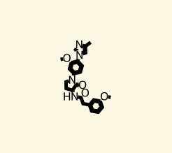 COc1cccc(CC(=O)NC2CCN(c3ccc(-n4cnc(C)c4)c(OC)c3)C2=O)c1